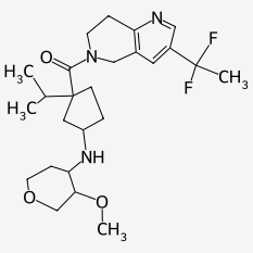 COC1COCCC1NC1CCC(C(=O)N2CCc3ncc(C(C)(F)F)cc3C2)(C(C)C)C1